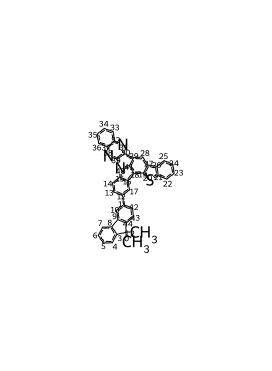 CC1(C)c2ccccc2-c2cc(-c3ccc4c(c3)c3c5sc6ccccc6c5cc5c6nc7ccccc7nc6n4c53)ccc21